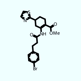 COC(=O)C1=C(NC(=O)CCc2ccc(Br)cc2)CC(c2nccs2)CC1